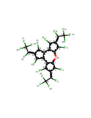 F/C(=c1\c(F)c2oc3c(F)/c(=C(/F)C(F)(F)F)c(F)c3c3c(F)/c(=C(/F)C(F)(F)F)c(F)c3c2c1F)C(F)(F)F